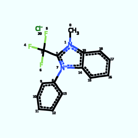 Cn1c(C(F)(F)F)[n+](-c2ccccc2)c2ccccc21.[Cl-]